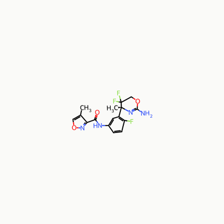 Cc1conc1C(=O)Nc1ccc(F)c([C@@]2(C)N=C(N)OCC2(F)F)c1